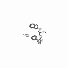 Cl.OC(CNC1CCc2ccccc2C1)COc1nnnn1-c1ccccc1